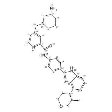 C[C@H]1COCCN1c1ncnc2[nH]c(-c3ccc(NC(=O)c4cc(CN5CCC[C@@H](N)C5)ccn4)cc3)cc12